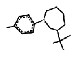 Cc1ccc(N2CCCCC(C(C)(C)C)C2)cc1